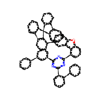 c1ccc(-c2cccc(-c3nc(-c4ccccc4-c4ccccc4)nc(-c4cccc5oc6ccc(-c7cccc8c7C7(c9ccccc9-c9ccccc97)c7ccccc7-8)cc6c45)n3)c2)cc1